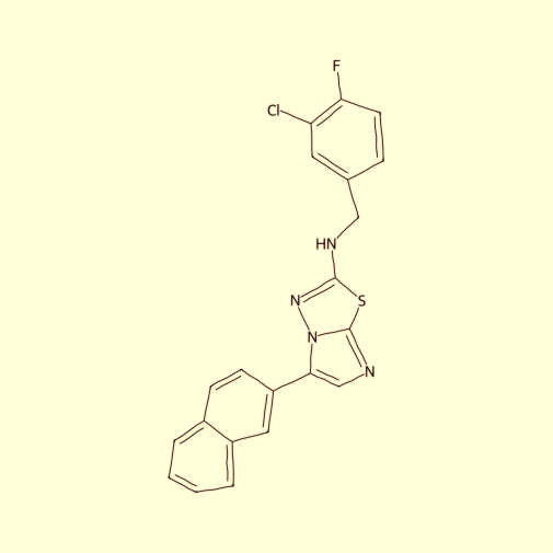 Fc1ccc(CNc2nn3c(-c4ccc5ccccc5c4)cnc3s2)cc1Cl